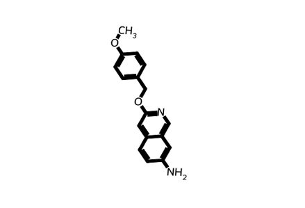 COc1ccc(COc2cc3ccc(N)cc3cn2)cc1